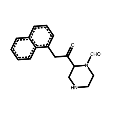 O=[C]N1CCNCC1C(=O)Cc1cccc2ccccc12